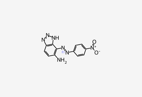 Nc1ccc2nn[nH]c2c1/N=N/c1ccc([N+](=O)[O-])cc1